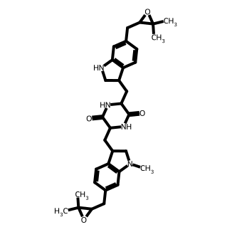 CN1CC(CC2NC(=O)C(CC3CNc4cc(CC5OC5(C)C)ccc43)NC2=O)c2ccc(CC3OC3(C)C)cc21